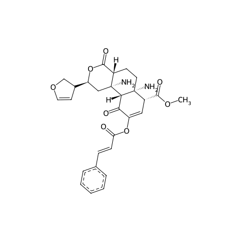 COC(=O)[C@@H]1C=C(OC(=O)/C=C/c2ccccc2)C(=O)[C@H]2[C@@]1(N)CC[C@H]1C(=O)O[C@H](C3C=COC3)C[C@]21N